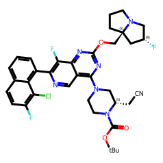 CC(C)(C)OC(=O)N1CCN(c2nc(OC[C@@]34CCCN3C[C@H](F)C4)nc3c(F)c(-c4cccc5ccc(F)c(Cl)c45)ncc23)C[C@@H]1CC#N